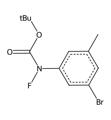 Cc1cc(Br)cc(N(F)C(=O)OC(C)(C)C)c1